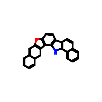 C1=CC2=Cc3oc4ccc5c6ccc7ccccc7c6[nH]c5c4c3CC2C=C1